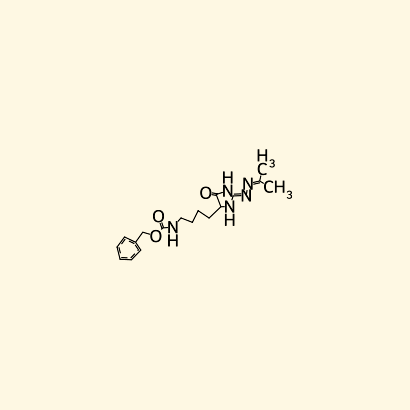 CC(C)=N/N=C1\NC(=O)C(CCCCNC(=O)OCc2ccccc2)N1